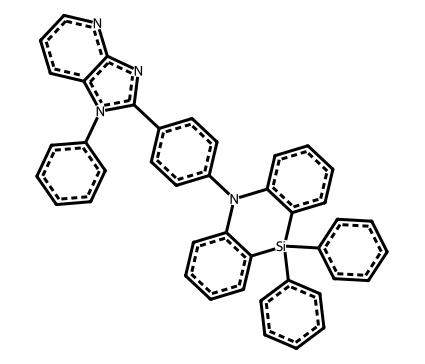 c1ccc(-n2c(-c3ccc(N4c5ccccc5[Si](c5ccccc5)(c5ccccc5)c5ccccc54)cc3)nc3ncccc32)cc1